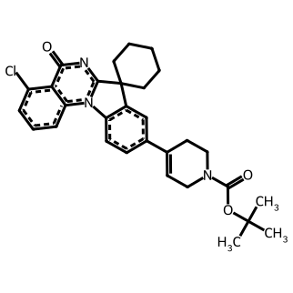 CC(C)(C)OC(=O)N1CC=C(c2ccc3c(c2)C2(CCCCC2)c2nc(=O)c4c(Cl)cccc4n2-3)CC1